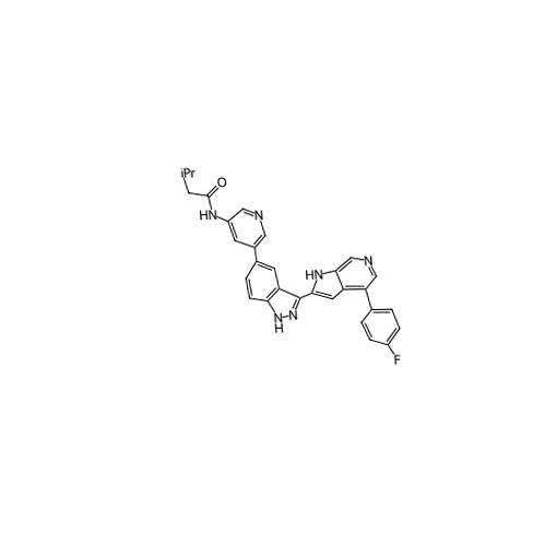 CC(C)CC(=O)Nc1cncc(-c2ccc3[nH]nc(-c4cc5c(-c6ccc(F)cc6)cncc5[nH]4)c3c2)c1